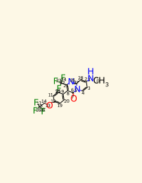 CNc1ccn2c(=O)c(-c3ccc(OCC(F)(F)F)cc3)c(C(F)(F)F)nc2c1